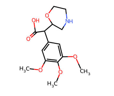 COc1cc(C(C(=O)O)C2CNCCO2)cc(OC)c1OC